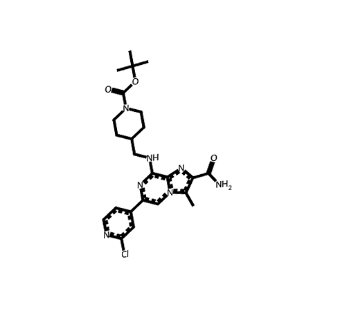 Cc1c(C(N)=O)nc2c(NCC3CCN(C(=O)OC(C)(C)C)CC3)nc(-c3ccnc(Cl)c3)cn12